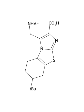 CC(=O)NCc1c(C(=O)O)nc2sc3c(n12)CCC(C(C)(C)C)C3